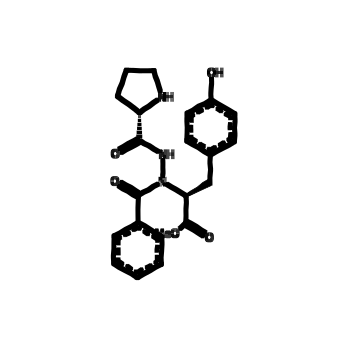 COC(=O)[C@H](Cc1ccc(O)cc1)N(NC(=O)[C@@H]1CCCN1)C(=O)c1ccccc1